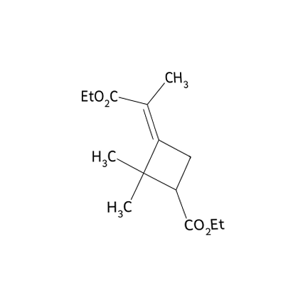 CCOC(=O)/C(C)=C1/CC(C(=O)OCC)C1(C)C